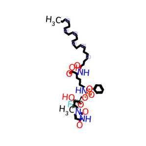 CC/C=C\C/C=C\C/C=C\C/C=C\C/C=C\C/C=C\CCC(=O)NC(CCCCNP(=O)(OC[C@H]1OC(n2ccc(=O)[nH]c2=O)[C@](C)(F)[C@@H]1O)Oc1ccccc1)C(=O)O